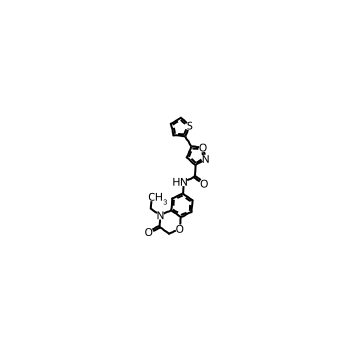 CCN1C(=O)COc2ccc(NC(=O)c3cc(-c4cccs4)on3)cc21